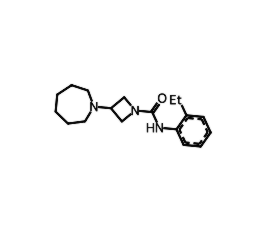 CCc1ccccc1NC(=O)N1CC(N2CCCCCC2)C1